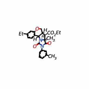 CCOC(=O)[C@@H]1[C@H]2COc3cc(CC)ccc3[C@@H]2N2C(=O)N(c3cccc(C)c3)C(=O)[C@@]12C